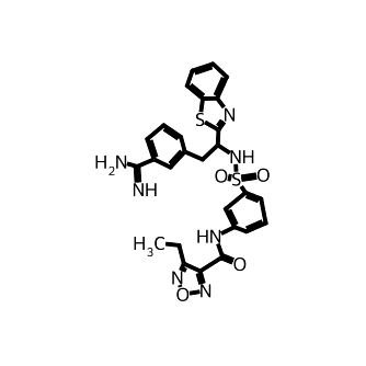 CCc1nonc1C(=O)Nc1cccc(S(=O)(=O)NC(Cc2cccc(C(=N)N)c2)c2nc3ccccc3s2)c1